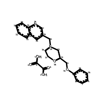 O=C(O)C(=O)O.c1ccc(OCC2CN(Cc3cnc4ccccc4c3)CCO2)cc1